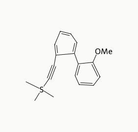 COc1ccccc1-c1ccccc1C#CS(C)(C)C